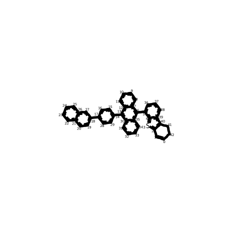 C1=Cc2sc3c(-c4c5ccccc5c(-c5ccc(-c6ccc7ccccc7c6)cc5)c5ccccc45)cccc3c2CC1